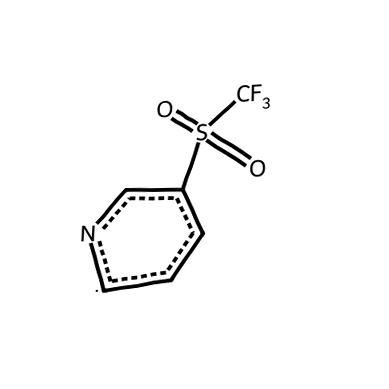 O=S(=O)(c1cc[c]nc1)C(F)(F)F